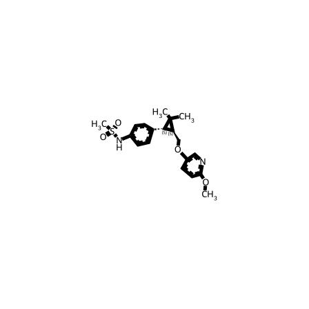 COc1ccc(OC[C@H]2[C@H](c3ccc(NS(C)(=O)=O)cc3)C2(C)C)cn1